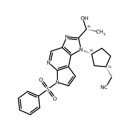 C[C@@H](O)c1nc2cnc3c(ccn3S(=O)(=O)c3ccccc3)c2n1[C@@H]1CC[C@H](CC#N)C1